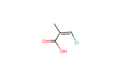 CC(=CCl)C(=O)O